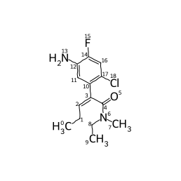 CC/C=C(\C(=O)N(C)CC)c1cc(N)c(F)cc1Cl